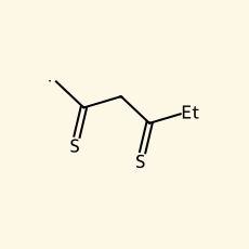 [CH2]C(=S)CC(=S)CC